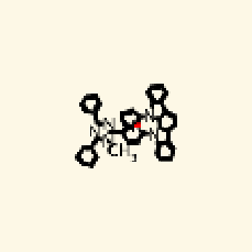 CN1C(c2ccccc2)=NC(c2ccccc2)=NC1c1ccc(-n2c3ccccc3c3ccc4c5ccccc5n(-c5ccccc5)c4c32)nc1